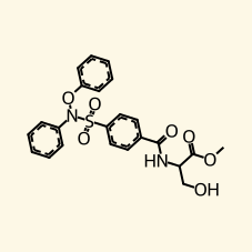 COC(=O)C(CO)NC(=O)c1ccc(S(=O)(=O)N(Oc2ccccc2)c2ccccc2)cc1